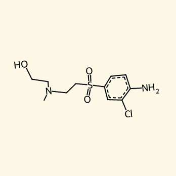 CN(CCO)CCS(=O)(=O)c1ccc(N)c(Cl)c1